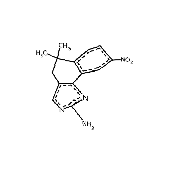 CC1(C)Cc2cnc(N)nc2-c2cc([N+](=O)[O-])ccc21